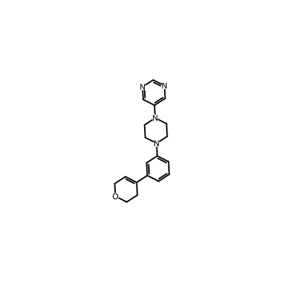 C1=C(c2cccc(N3CCN(c4cncnc4)CC3)c2)CCOC1